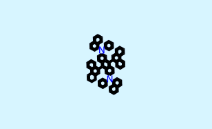 C1=Cc2c(cc(-c3c4cc(N(c5ccccc5)c5cccc6ccccc56)ccc4c(-c4cc5ccccc5c5ccccc45)c4cc(N(c5ccccc5)c5cccc6ccccc56)ccc34)c3ccccc23)CC1